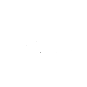 CCC(C)OC(=O)C(C)Oc1cc(-n2nc(C)n(C(F)F)c2=O)c(Cl)cc1Cl